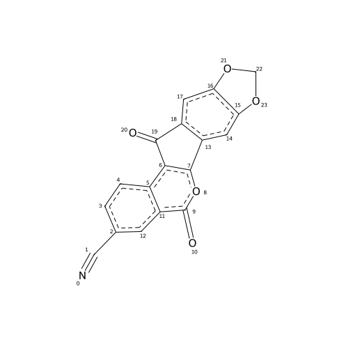 N#Cc1ccc2c3c(oc(=O)c2c1)-c1cc2c(cc1C3=O)OCO2